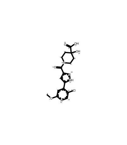 COc1cc(-c2cc(C(=O)N3CCC(O)(C(=O)O)CC3)n[nH]2)c(Cl)cn1